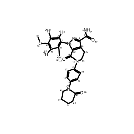 [2H]c1c([2H])c(-n2nc(C(N)=O)c3c2C(=O)N(c2ccc(N4CCCCC4=O)cc2)CC3)c([2H])c([2H])c1OC